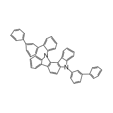 c1ccc(-c2cccc(-c3ccccc3-n3c4ccccc4c4ccc5c(c6ccccc6n5-c5cccc(-c6ccccc6)c5)c43)c2)cc1